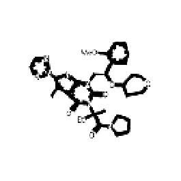 CCC(C)(C(=O)N1CCCC1)n1c(=O)c2c(C)c(-n3nccn3)sc2n(C[C@H](OC2CCOCC2)c2ccccc2OC)c1=O